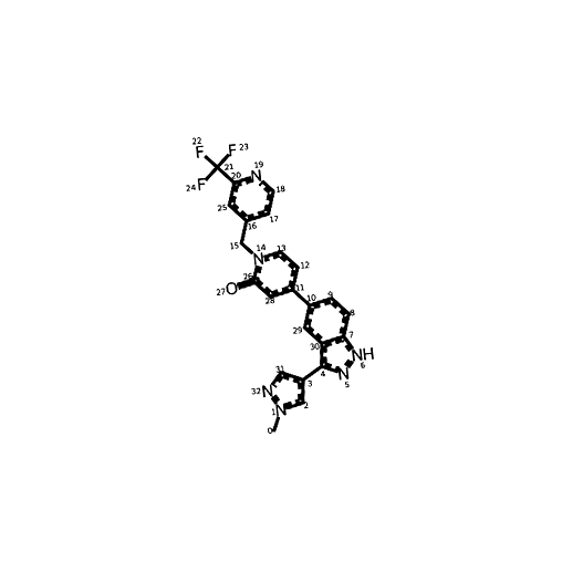 Cn1cc(-c2n[nH]c3ccc(-c4ccn(Cc5ccnc(C(F)(F)F)c5)c(=O)c4)cc23)cn1